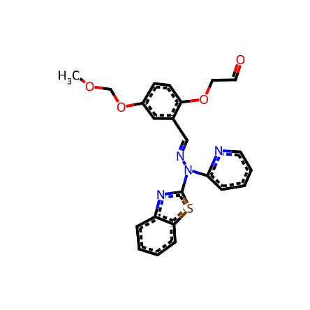 COCOc1ccc(OCC=O)c(/C=N/N(c2ccccn2)c2nc3ccccc3s2)c1